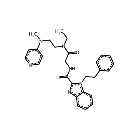 CCN(CCN(C)c1ccncc1)C(=O)CNC(=O)c1nc2ccccc2n1CCc1ccccc1